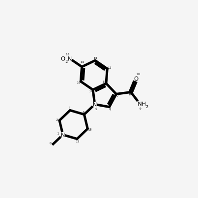 CN1CCC(n2cc(C(N)=O)c3ccc([N+](=O)[O-])cc32)CC1